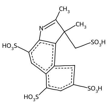 CC1=Nc2c(S(=O)(=O)O)cc3c(S(=O)(=O)O)cc(S(=O)(=O)O)cc3c2C1(C)CS(=O)(=O)O